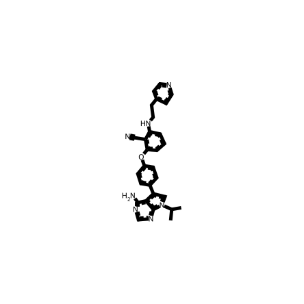 CC(C)n1cc(-c2ccc(Oc3cccc(NCCc4ccncc4)c3C#N)cc2)c2c(N)ncnc21